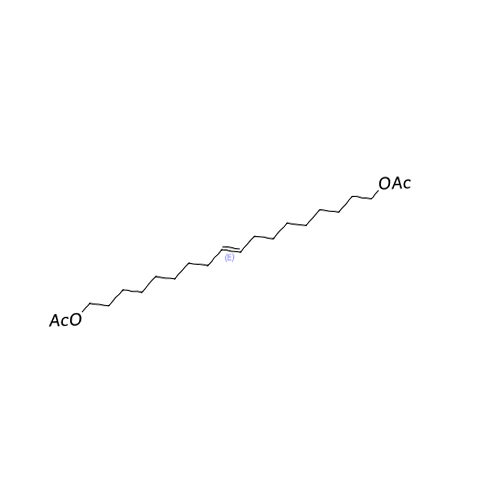 CC(=O)OCCCCCCCC/C=C/CCCCCCCCOC(C)=O